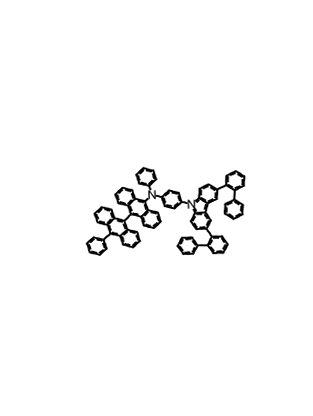 c1ccc(-c2ccccc2-c2ccc3c(c2)c2cc(-c4ccccc4-c4ccccc4)ccc2n3-c2ccc(N(c3ccccc3)c3c4ccccc4c(-c4c5ccccc5c(-c5ccccc5)c5ccccc45)c4ccccc34)cc2)cc1